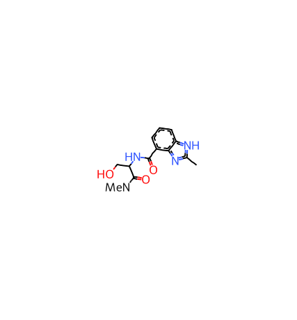 CNC(=O)C(CO)NC(=O)c1cccc2[nH]c(C)nc12